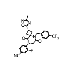 Cc1noc([C@H]2C[C@]3(C2)C(=O)N(c2ccc(C#N)cc2F)CC(=O)N3Cc2ccc(C(F)(F)F)cc2)n1